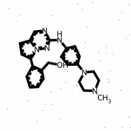 CN1CCN(c2ccc(Nc3ncc4ccc(-c5ccccc5CO)n4n3)cc2)CC1